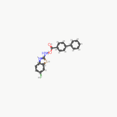 O=C(ONc1nc2ccc(F)cc2s1)c1ccc(-c2ccccc2)cc1